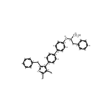 Cc1sc(Cc2ccccc2)c(-c2ccc(-c3ccc(O[C@H](Cc4ccccc4)C(=O)O)cc3)cc2)c1C